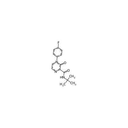 CC(C)(C)NC(=O)c1nccn(-c2ccc(F)cc2)c1=O